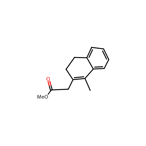 COC(=O)CC1=C(C)c2ccccc2CC1